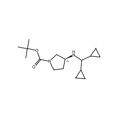 CC(C)(C)OC(=O)N1CC[C@H](NC(C2CC2)C2CC2)C1